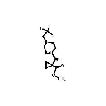 COC(=O)C1(C(=O)N2CCC(CC(F)(F)F)CC2)CC1